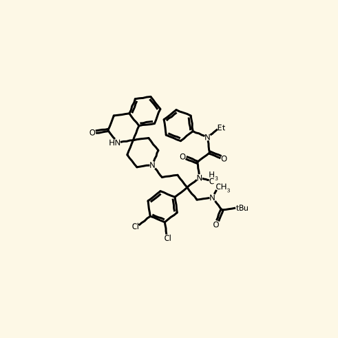 CCN(C(=O)C(=O)N(C)C(CCN1CCC2(CC1)NC(=O)Cc1ccccc12)(CN(C)C(=O)C(C)(C)C)c1ccc(Cl)c(Cl)c1)c1ccccc1